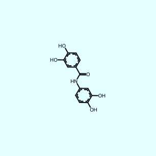 O=C(Nc1ccc(O)c(O)c1)c1ccc(O)c(O)c1